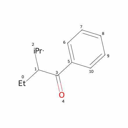 CCC([C](C)C)C(=O)c1ccccc1